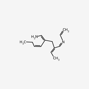 C=C/N=C\C(=C/C)CC(/C=C\CC)=C/N